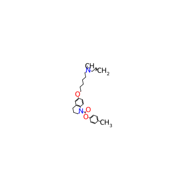 C=CCN(C)CCCCCCOc1ccc2c(c1)CCCN2C(=O)Oc1ccc(C)cc1